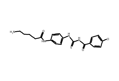 NCCCCC(=O)Nc1ccc(NC(=S)NC(=O)c2ccc(Cl)cc2)cc1